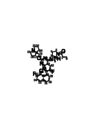 C=CC(=O)N1CCC2[C@H]1CN2c1nc(OCC23CCCN2CCC3)nc2nc(-c3cccc4ccc(F)c(Cl)c34)c(F)cc12